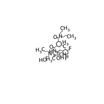 CCCN(CCO)C[C@H](C)C(C)(O)[C@H](Cc1cc(F)cc(F)c1)NC(=O)c1cc(C)cc(C(=O)N(CCC)CCC)c1